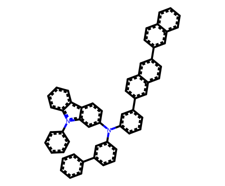 c1ccc(-c2cccc(N(c3cccc(-c4ccc5cc(-c6ccc7ccccc7c6)ccc5c4)c3)c3ccc4c5ccccc5n(-c5ccccc5)c4c3)c2)cc1